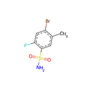 Cc1cc(S(N)(=O)=O)c(F)cc1Br